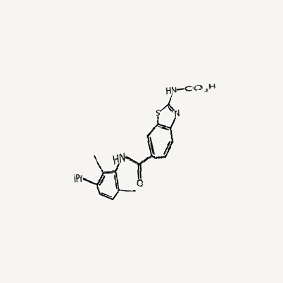 Cc1ccc(C(C)C)c(C)c1NC(=O)c1ccc2nc(NC(=O)O)sc2c1